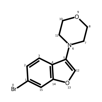 Brc1ccc2c(N3CCOCC3)coc2c1